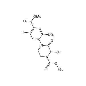 COC(=O)c1cc([N+](=O)[O-])c(N2CCN(C(=O)OC(C)(C)C)C(C(C)C)C2=O)cc1F